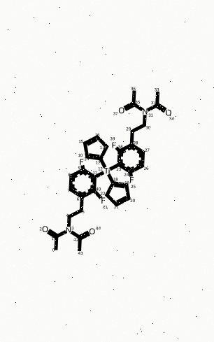 CC(=O)N(CCc1ccc(F)[c]([Ti]([C]2=CC=CC2)([C]2=CC=CC2)[c]2c(F)ccc(CCN(C(C)=O)C(C)=O)c2F)c1F)C(C)=O